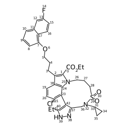 CCOC(=O)c1c(CCCOc2cccc3cc(F)ccc23)c2ccc(Cl)c3c2n1CCCS(=O)(=O)N(C1CC1)Cc1n[nH]c(CC)c1-3